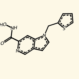 O=C(NO)c1cc2c(ccn2Cc2cccs2)cn1